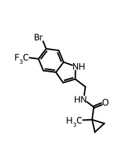 CC1(C(=O)NCc2cc3cc(C(F)(F)F)c(Br)cc3[nH]2)CC1